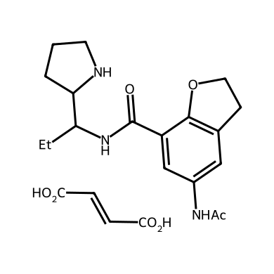 CCC(NC(=O)c1cc(NC(C)=O)cc2c1OCC2)C1CCCN1.O=C(O)C=CC(=O)O